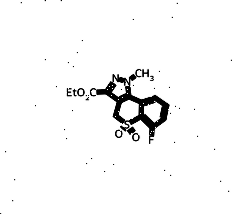 CCOC(=O)c1nn(C)c2c1CS(=O)(=O)c1c(F)cccc1-2